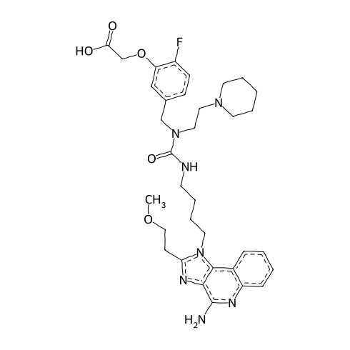 COCCc1nc2c(N)nc3ccccc3c2n1CCCCNC(=O)N(CCN1CCCCC1)Cc1ccc(F)c(OCC(=O)O)c1